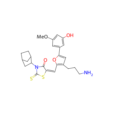 COc1cc(O)cc(-c2cc(CCCN)c(/C=C3/SC(=S)N(C4CC5CCC4C5)C3=O)o2)c1